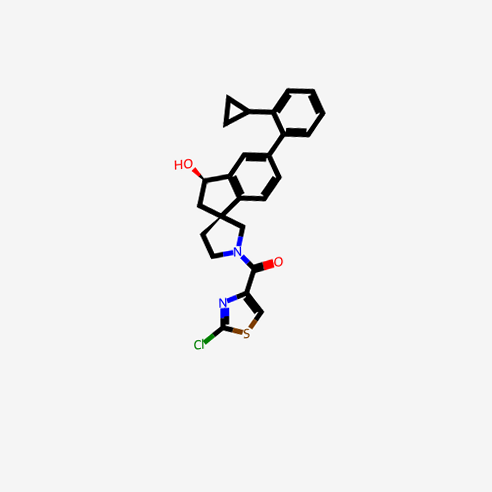 O=C(c1csc(Cl)n1)N1CC[C@]2(C[C@@H](O)c3cc(-c4ccccc4C4CC4)ccc32)C1